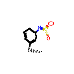 CNc1cccc(N=S(=O)=O)c1